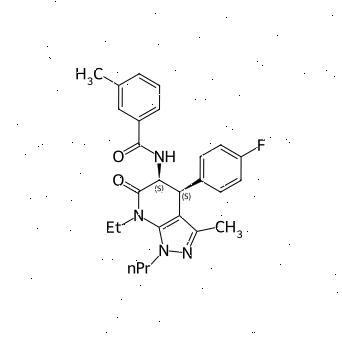 CCCn1nc(C)c2c1N(CC)C(=O)[C@@H](NC(=O)c1cccc(C)c1)[C@H]2c1ccc(F)cc1